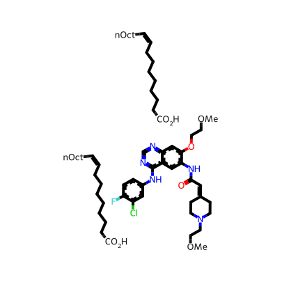 CCCCCCCC/C=C\CCCCCCCC(=O)O.CCCCCCCC/C=C\CCCCCCCC(=O)O.COCCOc1cc2ncnc(Nc3ccc(F)c(Cl)c3)c2cc1NC(=O)C=C1CCN(CCOC)CC1